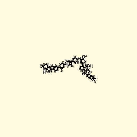 COc1ncc(-c2ccnc(N3CCn4c(cc5c4CC(C)(C)C5)C3=O)c2C(C)(C)O)cc1Nc1ccc(N2CCN(C3CCN(c4ccc5c(c4)CN([C@H]4CCC(=O)NC4=O)C5=O)[C@H](C)C3)C[C@@H]2C)cn1